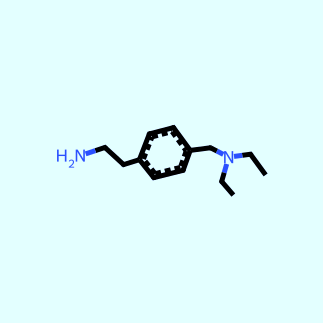 CCN(CC)Cc1ccc(CCN)cc1